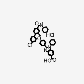 CN(C(=O)c1ccc(-c2ccc(Cl)cc2)c(COc2ccc(-c3nc4cc(C(=O)O)ccc4n3C3CCCCC3)cc2)c1)C1CCCCC1.Cl